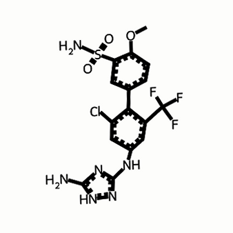 COc1ccc(-c2c(Cl)cc(Nc3n[nH]c(N)n3)cc2C(F)(F)F)cc1S(N)(=O)=O